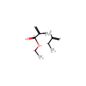 C=C(C)C(=O)OCC(F)(F)F.C=C(CC(F)(F)F)C(=O)O